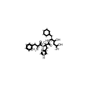 CC(C)C(O)CC(O)[C@H](CC1CCCCC1)NC(=O)[C@](C)(Cc1c[nH]cn1)NC(=O)[C@@H](N)Cc1ccccc1